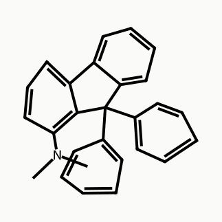 CN(C)c1cccc2c1C(c1ccccc1)(c1ccccc1)c1ccccc1-2